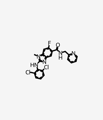 Cn1c(Nc2c(Cl)cccc2Cl)nc2cc(C(=O)NCc3ccccn3)c(F)cc21